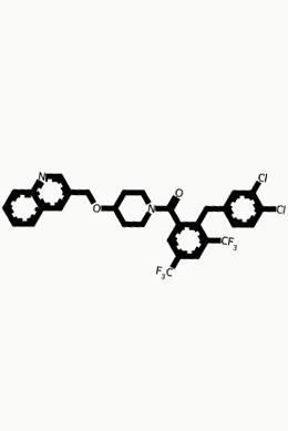 O=C(c1cc(C(F)(F)F)cc(C(F)(F)F)c1Cc1ccc(Cl)c(Cl)c1)N1CCC(OCc2cnc3ccccc3c2)CC1